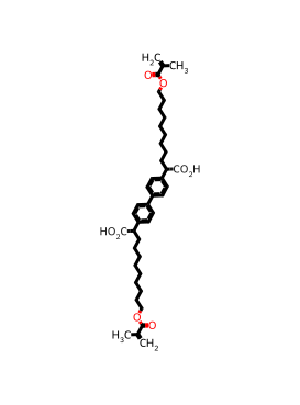 C=C(C)C(=O)OCCCCCCCCCC(C(=O)O)c1ccc(-c2ccc(C(CCCCCCCCCOC(=O)C(=C)C)C(=O)O)cc2)cc1